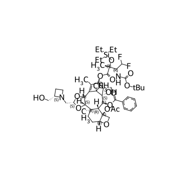 CC[Si](CC)(CC)O[C@@](C)(C(=O)O[C@H]1C[C@@]2(O)[C@@H](OC(=O)c3ccccc3)[C@H]3[C@@](C)(CC[C@H]4OC[C@]43OC(C)=O)[C@@H]3O[C@H](CN4CC[C@H]4CO)O[C@@H]3C(=C1C)C2(C)C)[C@@H](NC(=O)OC(C)(C)C)C(F)F